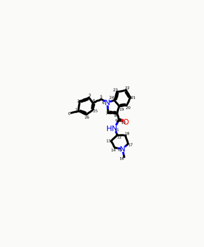 Cc1ccc(Cn2cc(C(=O)NC3CCN(C)CC3)c3ccccc32)cc1